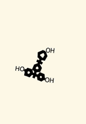 CC(C)(C1=CC=CC(O)C=C1)c1ccc(C(C)(c2ccc(O)cc2)c2ccc(O)cc2)cc1